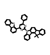 CC1(C)c2ccccc2-c2ccc3c(c21)c1ccccc1n3-c1nc(-c2ccccc2)cc(-c2cccc3c2sc2ccccc23)n1